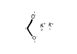 [K+].[K+].[O-]C[O-]